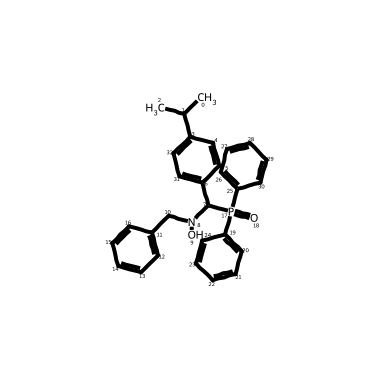 CC(C)c1ccc(C(N(O)Cc2ccccc2)P(=O)(c2ccccc2)c2ccccc2)cc1